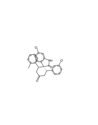 Cc1ccccc1C1CC(=O)CC(c2cccc(Cl)c2)[C@]12C(=O)Nc1cc(Cl)ccc12